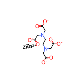 O=C([O-])CN(CCN(CC(=O)[O-])CC(=O)[O-])CC(=O)[O-].[Zn+2].[Zn+2]